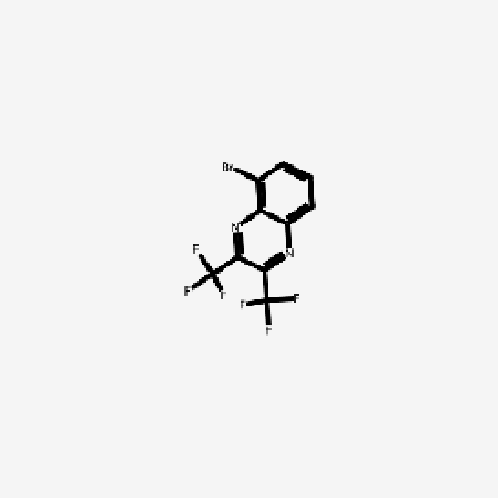 FC(F)(F)c1nc2cccc(Br)c2nc1C(F)(F)F